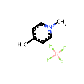 Cc1cc[n+](C)cc1.F[B-](F)(F)F